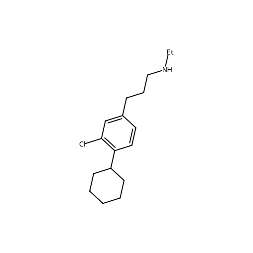 CCNCCCc1ccc(C2CCCCC2)c(Cl)c1